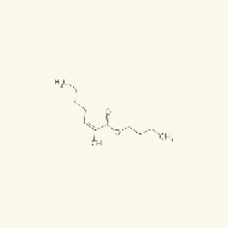 CCCCC=C(C)C(=O)OCCCC